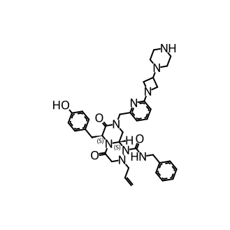 C=CCN1CC(=O)N2[C@@H](Cc3ccc(O)cc3)C(=O)N(Cc3cccc(N4CC(N5CCNCC5)C4)n3)C[C@@H]2N1C(=O)NCc1ccccc1